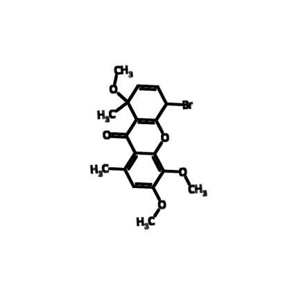 COc1cc(C)c2c(=O)c3c(oc2c1OC)C(Br)C=CC3(C)OC